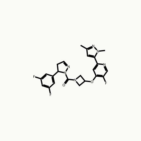 Cc1cc(-c2cc(OC3CN(C(=O)N4N=CCC4c4cc(F)cc(F)c4)C3)c(F)cn2)n(C)n1